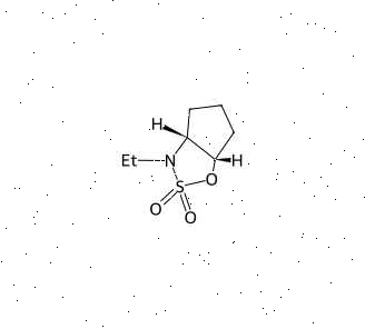 CCN1[C@@H]2CCC[C@@H]2OS1(=O)=O